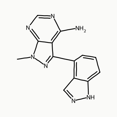 Cn1nc(-c2cccc3[nH]ncc23)c2c(N)ncnc21